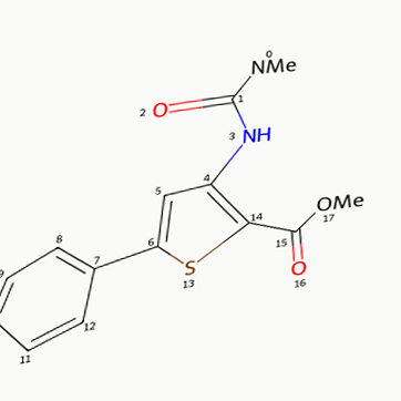 CNC(=O)Nc1cc(-c2ccccc2)sc1C(=O)OC